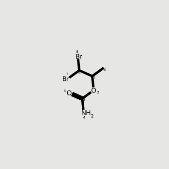 CC(OC(N)=O)C(Br)Br